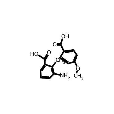 COc1ccc(C(=O)O)cc1.Cc1c(N)cccc1C(=O)O